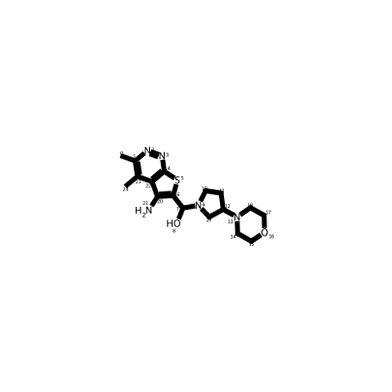 Cc1nnc2sc(C(O)N3CCC(N4CCOCC4)C3)c(N)c2c1C